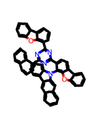 c1ccc2cc3c(cc2c1)c1ccccc1n3-c1c(-c2nc(-c3cccc4ccccc34)nc(-c3cccc4c3oc3ccccc34)n2)ccc2c1oc1ccccc12